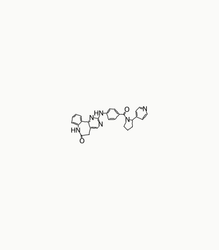 O=C1Cc2cnc(Nc3ccc(C(=O)N4CCCC4c4ccncc4)cc3)nc2-c2ccccc2N1